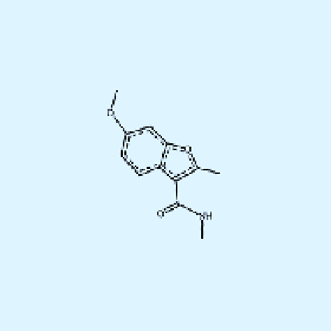 CNC(=O)c1c(C)oc2cc(OC)ccc12